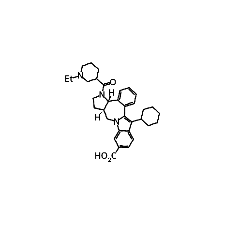 CCN1CCCC(C(=O)N2CC[C@@H]3Cn4c(c(C5CCCCC5)c5ccc(C(=O)O)cc54)-c4ccccc4[C@H]32)C1